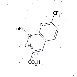 CCCN(C)c1nc(C(F)(F)F)ccc1/C=C/C(=O)O